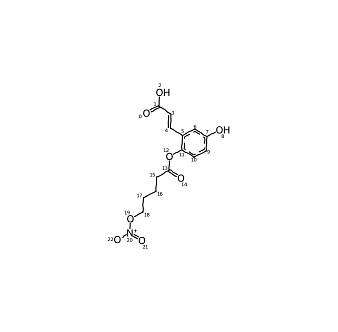 O=C(O)C=Cc1cc(O)ccc1OC(=O)CCCCO[N+](=O)[O-]